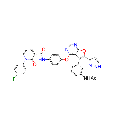 CC(=O)Nc1cccc(-c2c(-c3cc[nH]n3)oc3ncnc(Oc4ccc(NC(=O)c5cccn(-c6ccc(F)cc6)c5=O)cc4)c23)c1